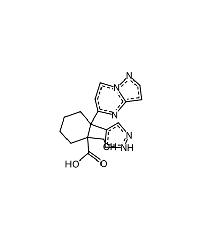 O=C(O)C1(CO)CCCCC1(c1cn[nH]c1)c1ccn2nccc2n1